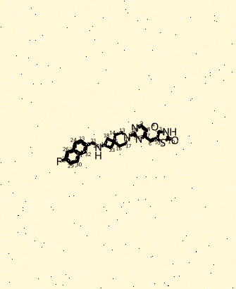 O=C1NC(=O)/C(=C\c2ccnc(N3CCC4(CC3)CC(NCc3ccc5cc(F)ccc5c3)C4)n2)S1